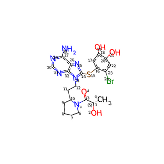 C[C@H](O)C(=O)N1CCCCC1CCn1c(Sc2cc(O)c(O)cc2Br)nc2c(N)ncnc21